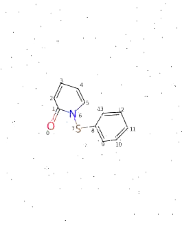 O=c1ccccn1Sc1ccccc1